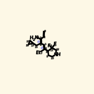 C=C/C(N)=C(\C=C(/CC)C1CCNCC1(F)F)CC1CC1